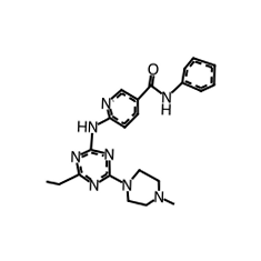 CCc1nc(Nc2ccc(C(=O)Nc3ccccc3)cn2)nc(N2CCN(C)CC2)n1